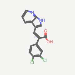 O=C(O)/C(=C\c1c[nH]c2ncccc12)c1ccc(Cl)c(Cl)c1